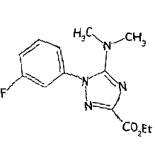 CCOC(=O)c1nc(N(C)C)n(-c2cccc(F)c2)n1